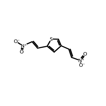 O=[N+]([O-])C=Cc1csc(C=C[N+](=O)[O-])c1